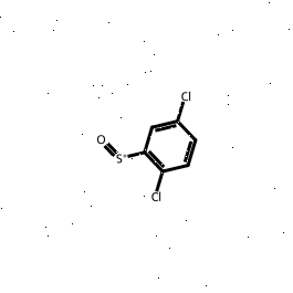 O=[S+]c1cc(Cl)ccc1Cl